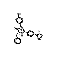 Nc1ccc(NC(=O)[C@H](Cc2ccccc2)NC(=O)c2ccc(-c3nnn[nH]3)cc2)cc1